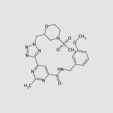 COc1cccc(CNC(=O)c2cc(-c3nnn(CC4CN(S(C)(=O)=O)CCO4)n3)nc(C)n2)c1